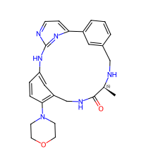 C[C@@H]1NCc2cccc(c2)-c2ccnc(n2)Nc2ccc(N3CCOCC3)c(c2)CNC1=O